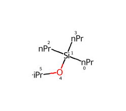 CCC[Si](CCC)(CCC)O[C](C)C